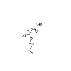 CCCCOC(=O)C(C)(C)CC(=O)CS